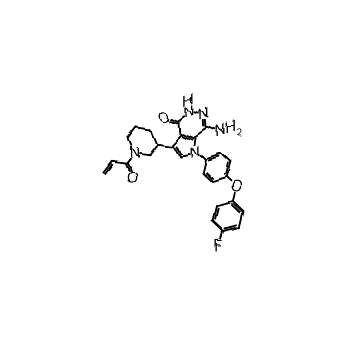 C=CC(=O)N1CCCC(c2cn(-c3ccc(Oc4ccc(F)cc4)cc3)c3c(N)n[nH]c(=O)c23)C1